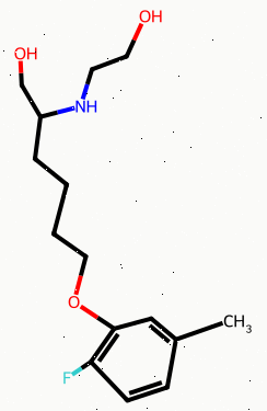 Cc1ccc(F)c(OCCCCC(CO)NCCO)c1